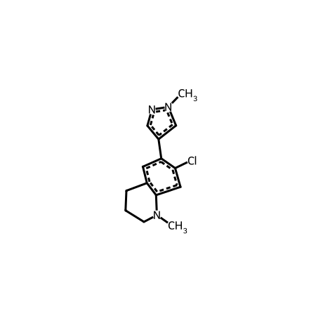 CN1CCCc2cc(-c3cnn(C)c3)c(Cl)cc21